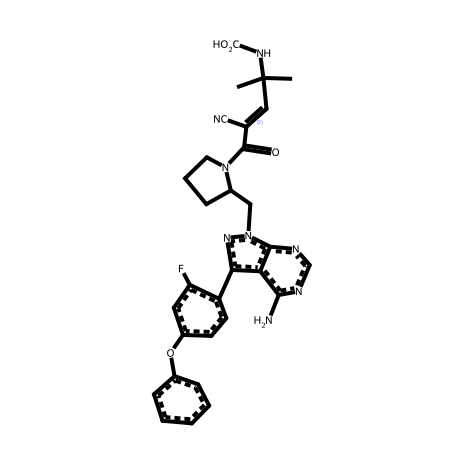 CC(C)(/C=C(\C#N)C(=O)N1CCCC1Cn1nc(-c2ccc(Oc3ccccc3)cc2F)c2c(N)ncnc21)NC(=O)O